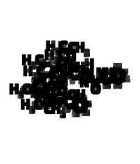 CC(C)C[C@H](NC(=O)[C@H](Cc1c[nH]c(C(=O)[C@@H](N)Cc2ccccc2)n1)NC(=O)OC(C)(C)C)C(O)CN(CC(C)C)C(=O)N[C@H](C(=O)N[C@@H](Cc1ccccc1)C(=O)O)C(C)C